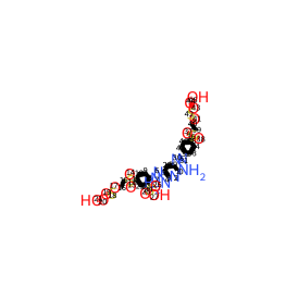 Nc1nc(N)c(/N=N/c2ccc(S(=O)(=O)CCOSOOO)cc2S(=O)(=O)O)cc1/N=N/c1ccc(S(=O)(=O)CCOSOOO)cc1